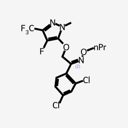 CCCO/N=C(\COc1c(F)c(C(F)(F)F)nn1C)c1ccc(Cl)cc1Cl